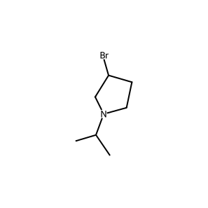 CC(C)N1CCC(Br)C1